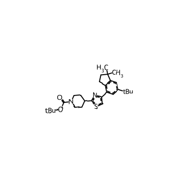 CC(C)(C)OC(=O)N1CCC(c2nc(-c3cc(C(C)(C)C)cc4c3CCC4(C)C)cs2)CC1